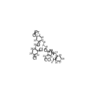 CC(C)Oc1ccc(CCCOc2nn(Cc3ccccc3)cc2CC(=O)O)c(OCc2ccc(Cl)cc2Cl)c1